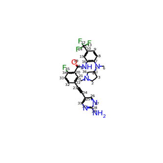 CN1CC[C@H](N(C)c2ccc(C(F)(F)F)cc2NC(=O)c2cc(C#Cc3cnc(N)nc3)ccc2F)C1